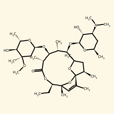 CC[C@H]1OC(=O)[C@H](C)[C@@H](O[C@H]2C[C@@](C)(OC)[C@@H](O)[C@H](C)O2)[C@H](C)[C@@H](O[C@@H]2O[C@H](C)C[C@H](N(C)C)[C@H]2O)[C@@]2(C)C[C@@H](C)[C@]3(O[C@]1(C)C=C3C)O2